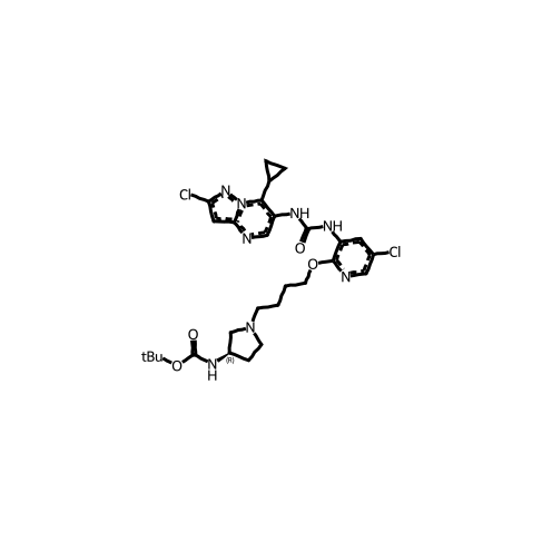 CC(C)(C)OC(=O)N[C@@H]1CCN(CCCCOc2ncc(Cl)cc2NC(=O)Nc2cnc3cc(Cl)nn3c2C2CC2)C1